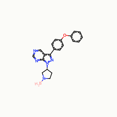 BN1CC[C@H](n2nc(-c3ccc(Oc4ccccc4)cc3)c3cncnc32)C1